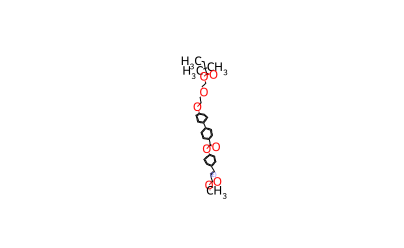 CCC(C)(C)C(=O)OCCOCCOc1ccc(-c2ccc(C(=O)Oc3ccc(/C=C/C(=O)OC)cc3)cc2)cc1